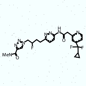 CNC(=O)c1cn(CC(F)CCc2ccc(NC(=O)Cc3cc(C(F)(F)C4CC4)ccn3)nn2)nn1